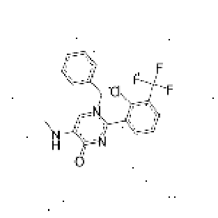 CNc1cn(Cc2ccccc2)c(-c2cccc(C(F)(F)F)c2Cl)nc1=O